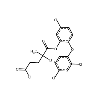 CC(C)(CCC(=O)Cl)C(=O)Oc1cc(Cl)ccc1Oc1ccc(Cl)cc1Cl